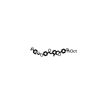 CCCCCCCCOc1ccc(C(=O)Cc2ccc(CC(=O)c3ccc(OCC[n+]4ccc(N(C)C)cc4)cc3)c(C)c2C)cc1